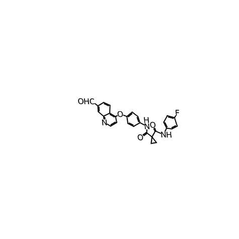 O=Cc1ccc2c(Oc3ccc(NC(=O)C4(C(=O)Nc5ccc(F)cc5)CC4)cc3)ccnc2c1